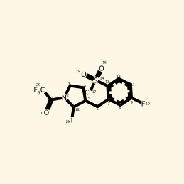 O=C(N1CCC(Cc2cc(F)ccc2S(=O)(=O)Cl)C1I)C(F)(F)F